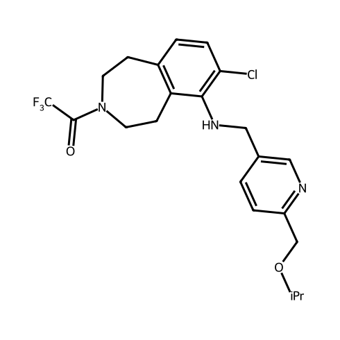 CC(C)OCc1ccc(CNc2c(Cl)ccc3c2CCN(C(=O)C(F)(F)F)CC3)cn1